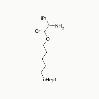 CCCCCCCCCCCCOC(=O)C(N)C(C)C